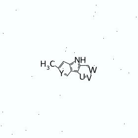 C[C]1=Cc2[nH]c3[c](c2[CH]=[Y]1)[U]=[V][W]=[CH]3